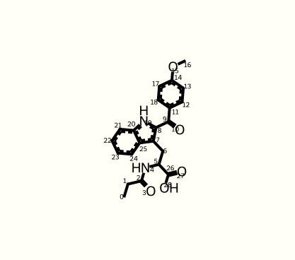 CCC(=O)NC(Cc1c(C(=O)c2ccc(OC)cc2)[nH]c2ccccc12)C(=O)O